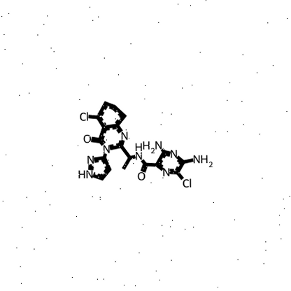 CC(NC(=O)c1nc(Cl)c(N)nc1N)c1nc2cccc(Cl)c2c(=O)n1-c1cc[nH]n1